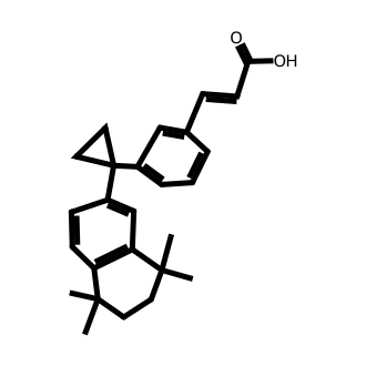 CC1(C)CCC(C)(C)c2cc(C3(c4cccc(C=CC(=O)O)c4)CC3)ccc21